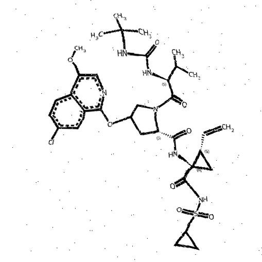 C=C[C@@H]1C[C@]1(NC(=O)[C@@H]1CC(Oc2ncc(OC)c3ccc(Cl)cc23)CN1C(=O)[C@@H](NC(=O)NC(C)(C)C)C(C)C)C(=O)NS(=O)(=O)C1CC1